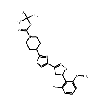 CSc1cccc(Cl)c1C1CC(c2csc(C3CCN(C(=O)OC(C)(C)C)CC3)n2)=NO1